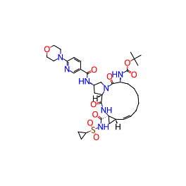 CC(C)(C)OC(=O)N[C@H]1CCCCC/C=C\[C@@H]2C[C@@]2(C(=O)NS(=O)(=O)C2CC2)NC(=O)[C@@H]2C[C@@H](NC(=O)c3ccc(N4CCOCC4)nc3)CN2C1=O